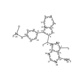 Cc1nn(C(C)c2cc3ccccn3c2-c2ccc(CN(C)C)cc2)c2ncnc(N)c12